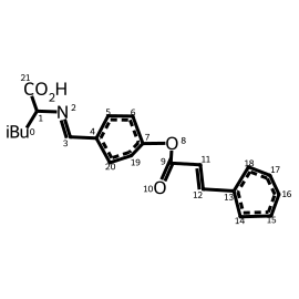 CCC(C)C(/N=C/c1ccc(OC(=O)/C=C/c2ccccc2)cc1)C(=O)O